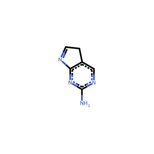 Nc1ncc2c(n1)N=CC2